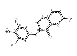 O=c1c2cc(Br)ccc2ccn1Cc1cc(F)c(O)c(F)c1